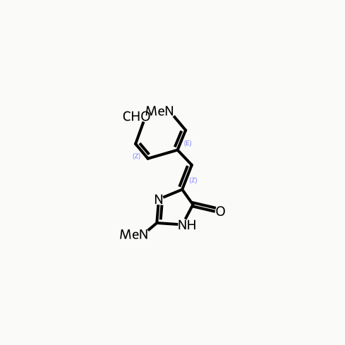 CN/C=C(\C=C/C=O)/C=C1\N=C(NC)NC1=O